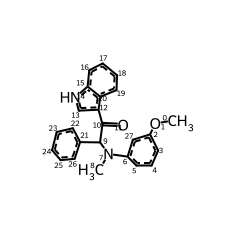 COc1cccc(N(C)C(C(=O)c2c[nH]c3ccccc23)c2ccccc2)c1